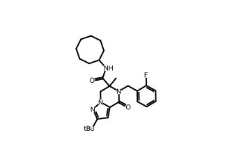 CC(C)(C)c1cc2n(n1)CC(C)(C(=O)NC1CCCCCCC1)N(Cc1ccccc1F)C2=O